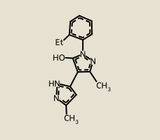 CCc1ccccc1-n1nc(C)c(-c2cc(C)n[nH]2)c1O